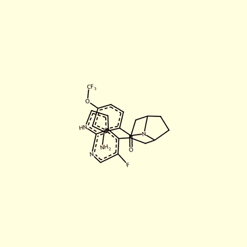 Nc1cc(OC(F)(F)F)ccc1C(=O)N1C2CCC1CC(c1c(F)cnc3[nH]ccc13)C2